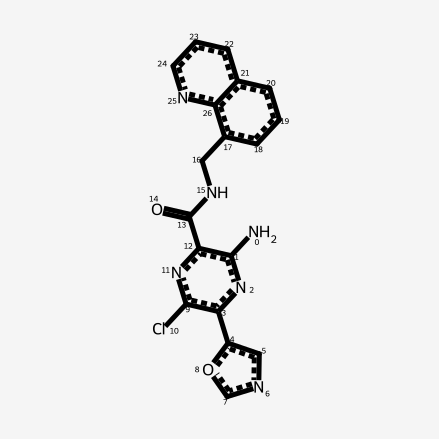 Nc1nc(-c2cnco2)c(Cl)nc1C(=O)NCc1cccc2cccnc12